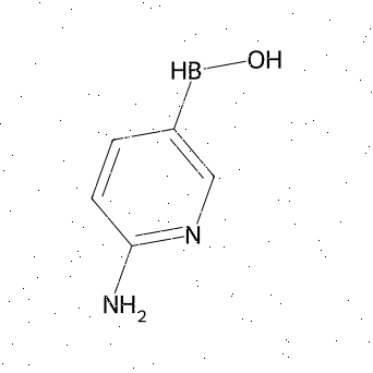 Nc1ccc(BO)cn1